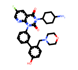 NC1CCC(n2c(=O)c3cc(F)cnc3n(-c3cccc(-c4cc(O)ccc4CN4CCOCC4)c3)c2=O)CC1